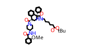 COc1ccccc1C(=O)NC1CCN(C(=O)[C@H]2CC[C@@](C(=O)NCCCCCC(=O)OC(C)(C)C)(c3ccccc3)c3ccccc32)CC1